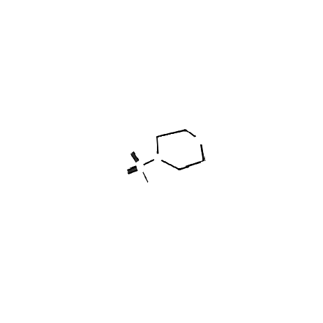 O=S(=O)(S)N1CCOCC1